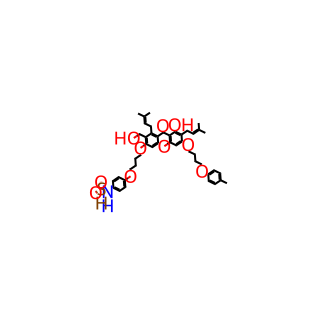 CC(C)=CCc1c(OCCCCOc2ccc(C)cc2)cc2oc3cc(OCCCCOc4ccc(N[SH](=O)=O)cc4)c(CO)c(CC=C(C)C)c3c(=O)c2c1O